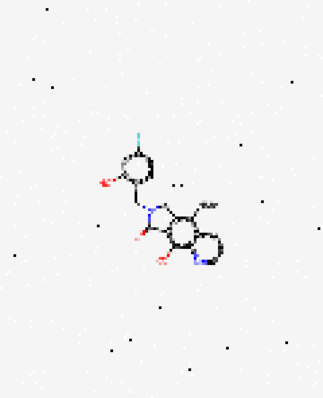 CNc1c2c(c(O)c3ncccc13)C(=O)N(Cc1ccc(F)cc1O)C2